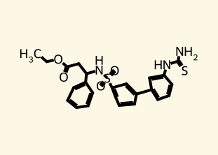 CCOC(=O)CC(NS(=O)(=O)c1cccc(-c2cccc(NC(N)=S)c2)c1)c1ccccc1